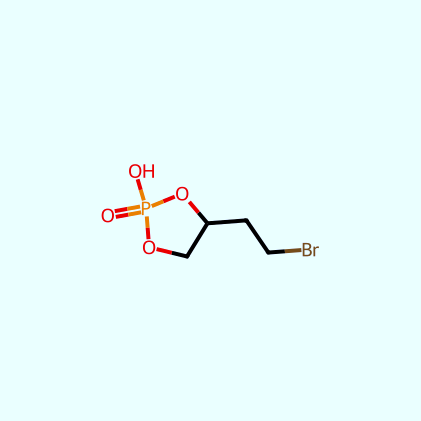 O=P1(O)OCC(CCBr)O1